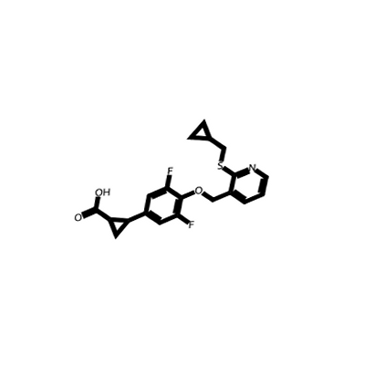 O=C(O)C1CC1c1cc(F)c(OCc2cccnc2SCC2CC2)c(F)c1